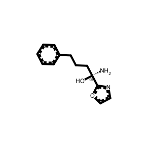 N[C@](O)(CCCc1ccccc1)c1ncco1